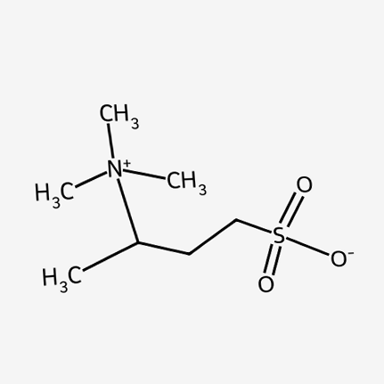 CC(CCS(=O)(=O)[O-])[N+](C)(C)C